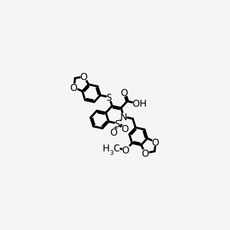 COc1cc(CN2C(C(=O)O)=C(Sc3ccc4c(c3)OCO4)c3ccccc3S2(=O)=O)cc2c1OCO2